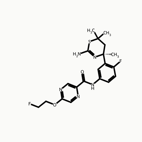 CC1(C)C[C@@](C)(c2cc(NC(=O)c3cnc(OCCF)cn3)ccc2F)N=C(N)S1